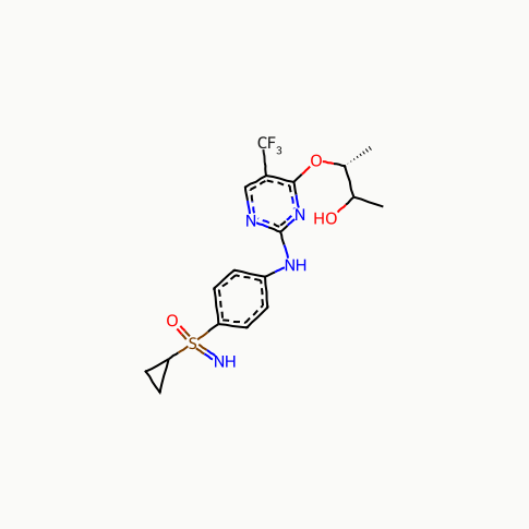 CC(O)[C@@H](C)Oc1nc(Nc2ccc(S(=N)(=O)C3CC3)cc2)ncc1C(F)(F)F